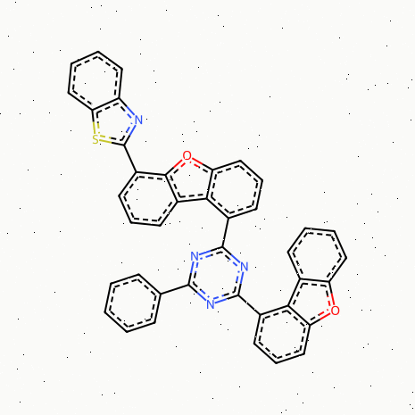 c1ccc(-c2nc(-c3cccc4oc5ccccc5c34)nc(-c3cccc4oc5c(-c6nc7ccccc7s6)cccc5c34)n2)cc1